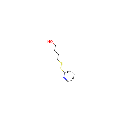 OCCCCSSc1ccccn1